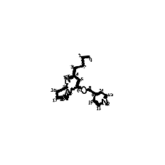 CCCCc1cc(OCc2ccncc2)n2nccc2n1